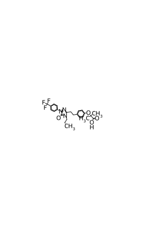 CCCn1c(CCc2ccc(OC(C)(C)C(=O)O)cc2)nn(-c2ccc(C(F)(F)F)cc2)c1=O